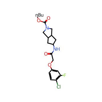 CCCCOC(=O)N1CC2CC(NC(=O)COc3ccc(Cl)c(F)c3)CC2C1